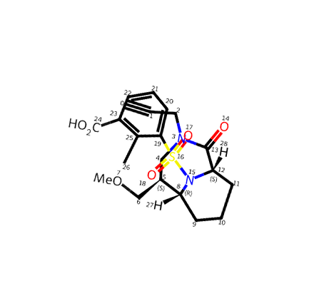 C#CCN1C[C@H](COC)[C@H]2CCC[C@@H](C1=O)N2S(=O)(=O)c1cccc(C(=O)O)c1C